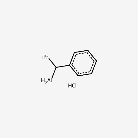 CC(C)[CH]([AlH2])c1ccccc1.Cl